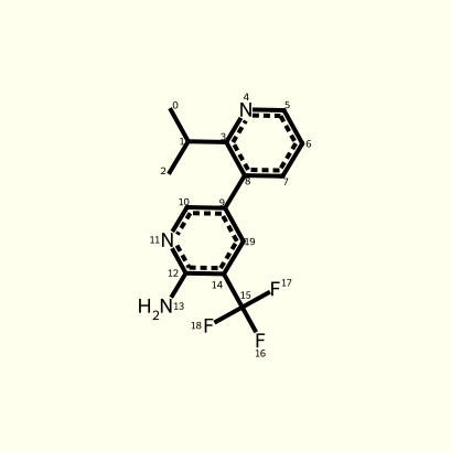 CC(C)c1ncccc1-c1cnc(N)c(C(F)(F)F)c1